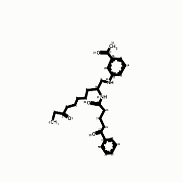 CCC(=O)CCCCCC(CNc1cccc(C(C)=O)c1)NC(=O)CCCC(=O)c1ccccc1